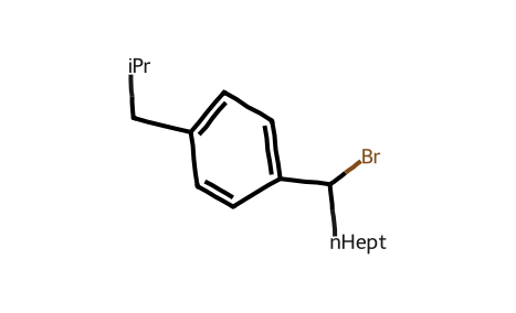 CCCCCCCC(Br)c1ccc(CC(C)C)cc1